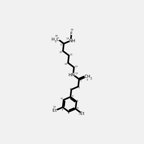 C=C(CCc1cc(CC)cc(CC)c1)NCCCCC(C)NF